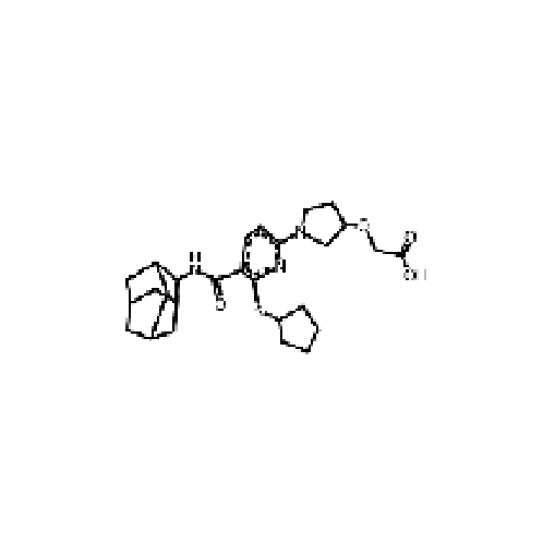 O=C(O)CO[C@@H]1CCN(c2ccc(C(=O)NC3C4CC5CC(C4)CC3C5)c(SC3CCCC3)n2)C1